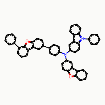 c1ccc(-c2cccc3c2oc2ccc(-c4ccc(N(c5ccc6oc7ccccc7c6c5)c5ccc6c(c5)c5ccccc5n6-c5ccccc5)cc4)cc23)cc1